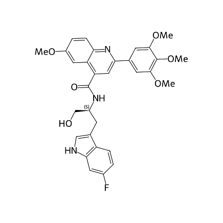 COc1ccc2nc(-c3cc(OC)c(OC)c(OC)c3)cc(C(=O)N[C@H](CO)Cc3c[nH]c4cc(F)ccc34)c2c1